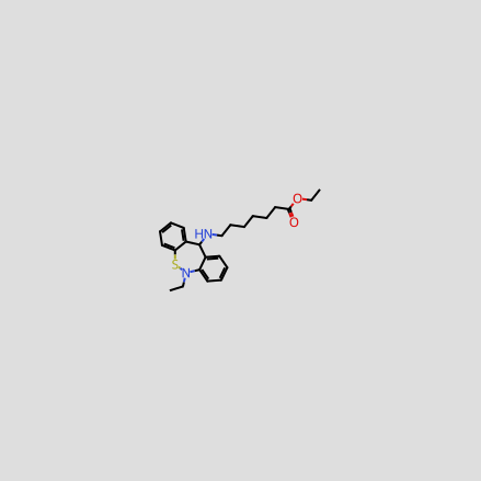 CCOC(=O)CCCCCCNC1c2ccccc2SN(CC)c2ccccc21